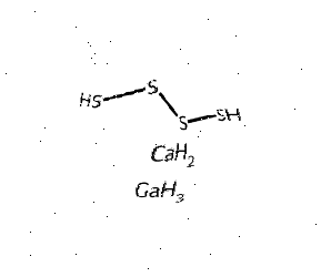 SSSS.[CaH2].[GaH3]